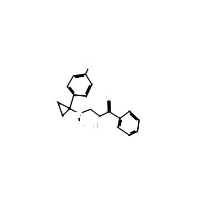 O=C(CCN(C(=O)O)C1(c2ccc(Br)cc2)CC1)c1ccccc1